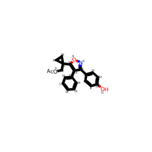 CC(=O)OCC1(c2onc(-c3ccc(O)cc3)c2-c2ccccc2)CC1